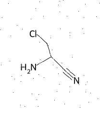 N#CC(N)CCl